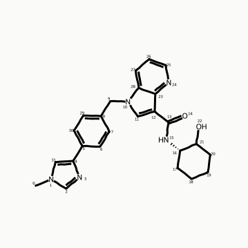 Cn1cnc(-c2ccc(Cn3cc(C(=O)N[C@H]4CCCCC4O)c4ncccc43)cc2)c1